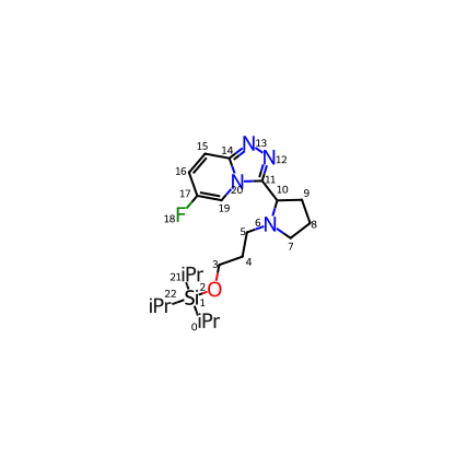 CC(C)[Si](OCCCN1CCCC1c1nnc2ccc(F)cn12)(C(C)C)C(C)C